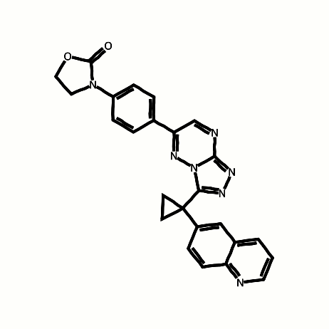 O=C1OCCN1c1ccc(-c2cnc3nnc(C4(c5ccc6ncccc6c5)CC4)n3n2)cc1